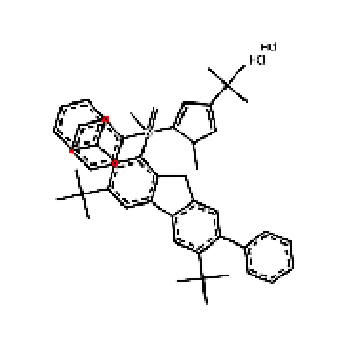 Cl.Cl.[CH2]=[Zr]([CH3])([C]1=CC(C(C)(C)C)=CC1C)([c]1ccccc1)[c]1c2c(cc(C(C)(C)C)c1-c1ccccc1)-c1cc(C(C)(C)C)c(-c3ccccc3)cc1C2